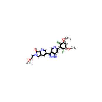 COCCN1Cc2cc(-c3n[nH]c4cc(-c5c(F)c(OC)cc(OC)c5F)ncc34)cnc2C1=O